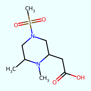 CC1CN(S(C)(=O)=O)CC(CC(=O)O)N1C